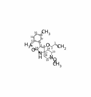 C=CCOC1=C(c2cc(C)ccc2C)C(=O)NC12CCN(OC)CC2